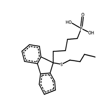 CCCCSC1(CCCCP(=O)(O)O)c2ccccc2-c2ccccc21